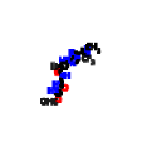 CCc1cc(Nc2nccn3c(-c4cn(C)nc4C(F)(F)F)cnc23)ccc1C(=O)NCCNC(=O)[C@@H]1C[C@@H](OC=O)CN1